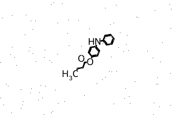 CCCC(=O)Oc1ccc(Nc2ccccc2)cc1